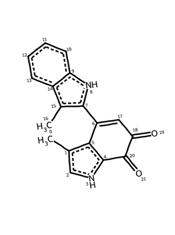 Cc1c[nH]c2c1C(c1[nH]c3ccccc3c1C)=CC(=O)C2=O